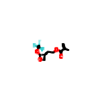 C=C(C)C(=O)OCCC1COC1OC(F)(F)F